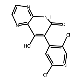 O=c1[nH]c2nccnc2c(O)c1-c1cc(Cl)ncc1Cl